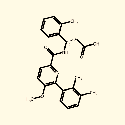 COc1ccc(C(=O)N[C@@H](CC(=O)O)c2ccccc2C)nc1-c1cccc(C)c1C